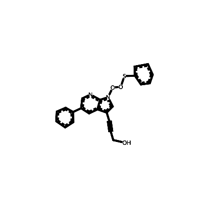 OCC#Cc1cn(OOSc2ccccc2)c2ncc(-c3ccccc3)cc12